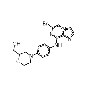 OCC1CN(c2ccc(Nc3nc(Br)cn4ccnc34)cc2)CCO1